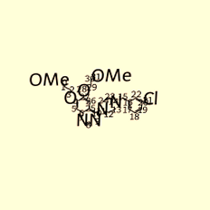 COCCOc1cc2ncnc(N3CCN(Cc4cccc(Cl)c4)CC3)c2cc1OCCOC